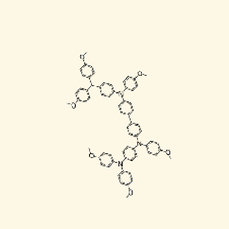 COc1ccc(C(c2ccc(OC)cc2)c2ccc(N(c3ccc(OC)cc3)c3ccc(-c4ccc(N(c5ccc(OC)cc5)c5ccc(N(c6ccc(OC)cc6)c6ccc(OC)cc6)cc5)cc4)cc3)cc2)cc1